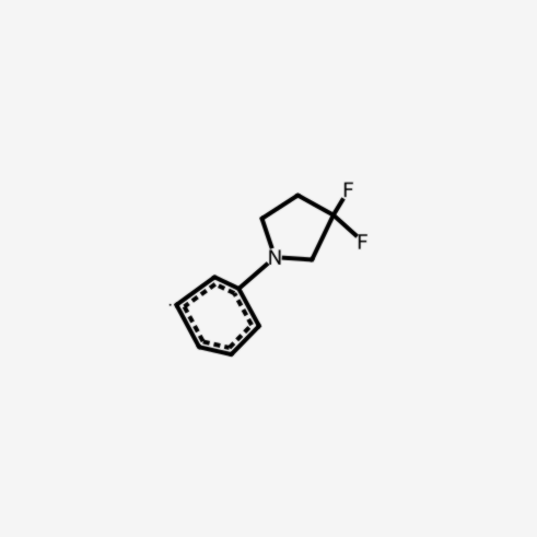 FC1(F)CCN(c2c[c]ccc2)C1